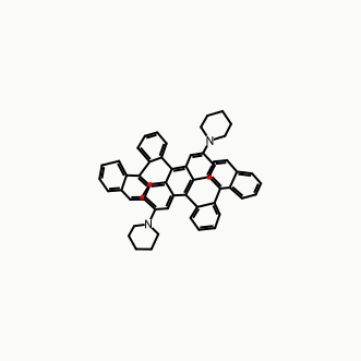 c1ccc(-c2c3ccc(N4CCCCC4)cc3c(-c3ccccc3-c3cccc4ccccc34)c3ccc(N4CCCCC4)cc23)c(-c2cccc3ccccc23)c1